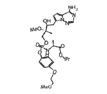 COCCOc1ccc(OP(=O)(N[C@@H](C)C(=O)OC(C)C)OC[C@@](C)(OC)[C@@H](O)Cc2ccc3c(N)ncnn23)cc1